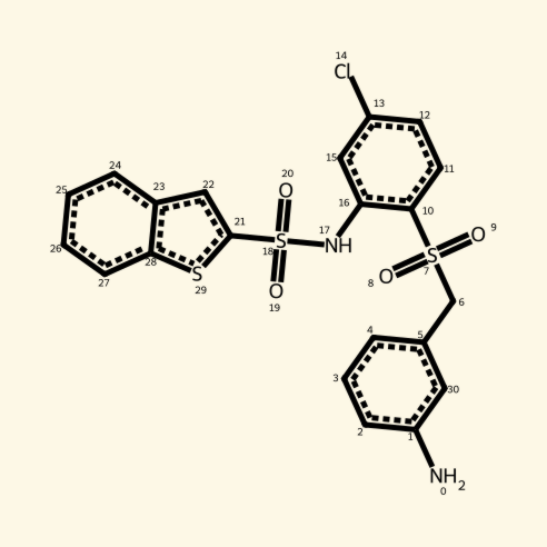 Nc1cccc(CS(=O)(=O)c2ccc(Cl)cc2NS(=O)(=O)c2cc3ccccc3s2)c1